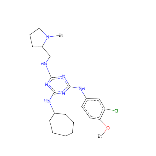 CCOc1ccc(Nc2nc(NCC3CCCN3CC)nc(NC3CCCCCC3)n2)cc1Cl